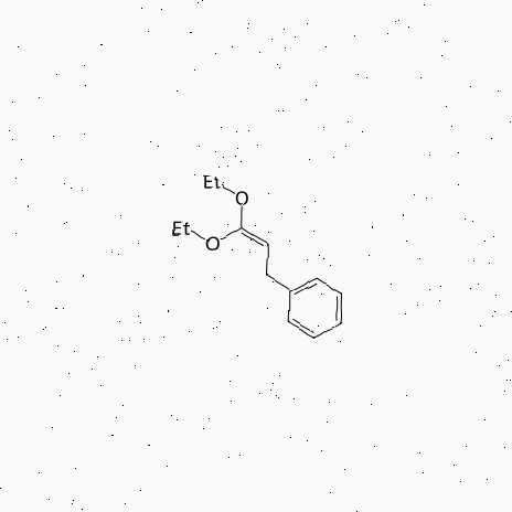 CCOC(=CCc1ccccc1)OCC